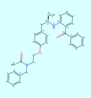 CCCC(=O)N(CCOc1ccc(C[C@H](Nc2ccccc2C(=O)c2ccccc2)C(=O)O)cc1)Cc1ccccc1